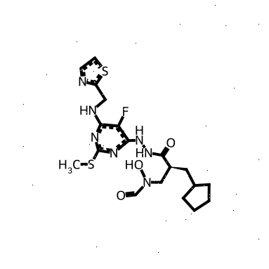 CSc1nc(NCc2nccs2)c(F)c(NNC(=O)[C@@H](CC2CCCC2)CN(O)C=O)n1